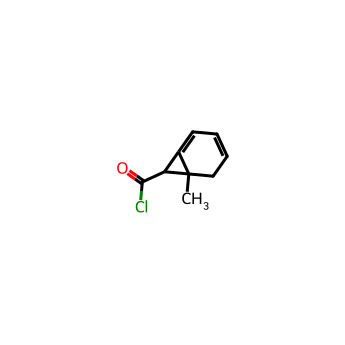 CC12CC=CC=C1C2C(=O)Cl